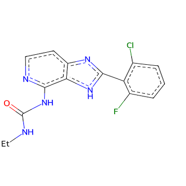 CCNC(=O)Nc1nccc2nc(-c3c(F)cccc3Cl)[nH]c12